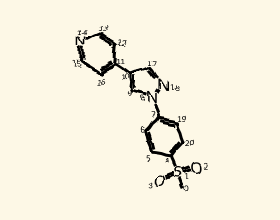 CS(=O)(=O)c1ccc(-n2cc(-c3ccncc3)cn2)cc1